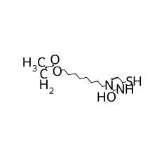 C=C(C)C(=O)OCCCCCCCCN1C=CC(S)NC1O